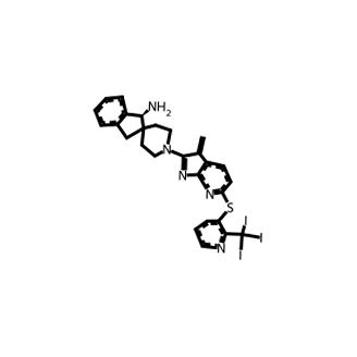 C=C1C(N2CCC3(CC2)Cc2ccccc2[C@H]3N)=Nc2nc(Sc3cccnc3C(I)(I)I)ccc21